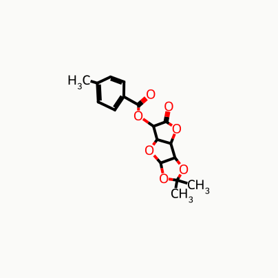 Cc1ccc(C(=O)OC2C(=O)OC3C4OC(C)(C)OC4OC23)cc1